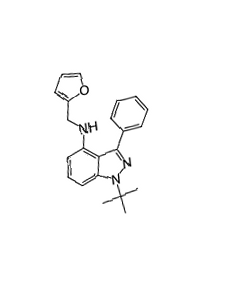 CC(C)(C)n1nc(-c2ccccc2)c2c(NCc3ccco3)cccc21